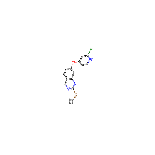 CCSc1ncc2ccc(Oc3ccnc(F)c3)cc2n1